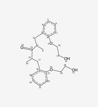 CC(Cc1ccccc1OCCO)C(=O)C(C)Cc1ccccc1OCCO